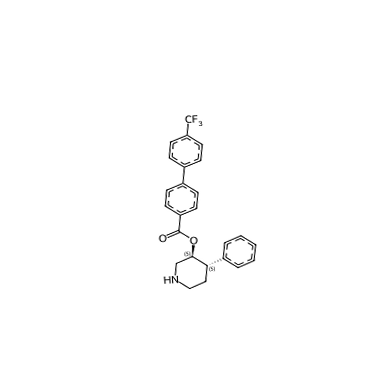 O=C(O[C@@H]1CNCC[C@H]1c1ccccc1)c1ccc(-c2ccc(C(F)(F)F)cc2)cc1